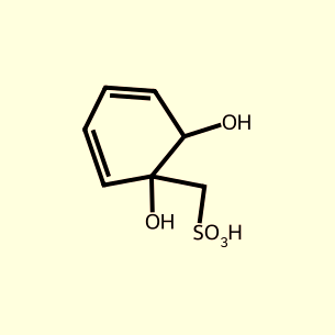 O=S(=O)(O)CC1(O)C=CC=CC1O